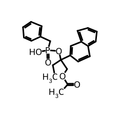 CCC(COC(C)=O)(OP(=O)(O)Cc1ccccc1)c1ccc2ccccc2c1